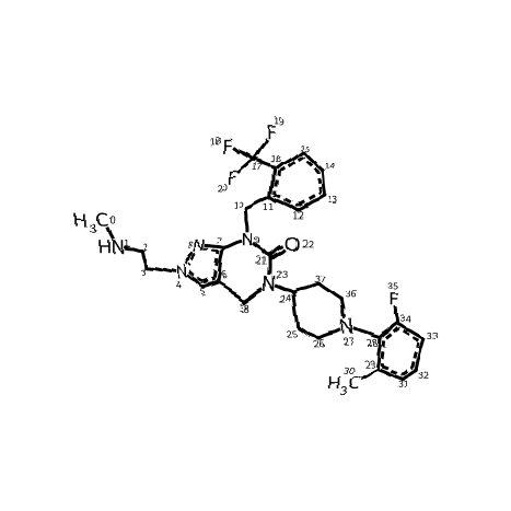 CNCCn1cc2c(n1)N(Cc1ccccc1C(F)(F)F)C(=O)N(C1CCN(c3c(C)cccc3F)CC1)C2